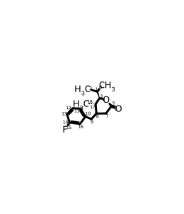 CC(C)[C@H]1OC(=O)CC(Cc2cccc(F)c2)[C@@H]1C